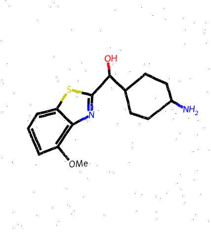 COc1cccc2sc(C(O)C3CCC(N)CC3)nc12